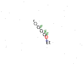 C=CC1CCC(c2ccc(-c3ccc(-c4ccc(OC/C=C/CC)c(F)c4F)cc3)c(F)c2)CC1